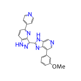 COc1cccc(-c2cncc3[nH]c(-c4n[nH]c5ccc(-c6ccncc6)nc45)nc23)c1